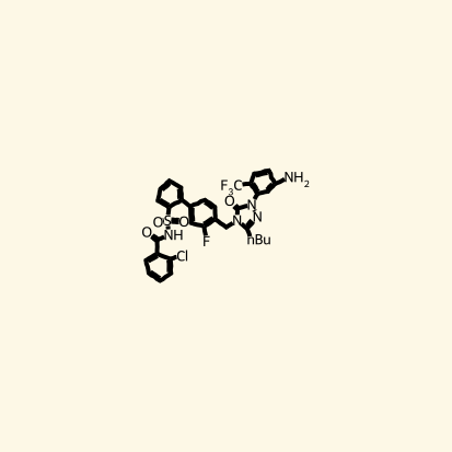 CCCCc1nn(-c2cc(N)ccc2C(F)(F)F)c(=O)n1Cc1ccc(-c2ccccc2S(=O)(=O)NC(=O)c2ccccc2Cl)cc1F